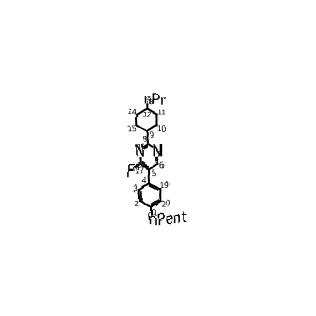 CCCCCc1ccc(-c2cnc(C3CCC(CCC)CC3)nc2F)cc1